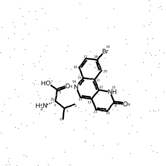 CC(C)[C@H](N)C(=O)O.O=c1ccc2cnc3ccc(Br)cc3c2[nH]1